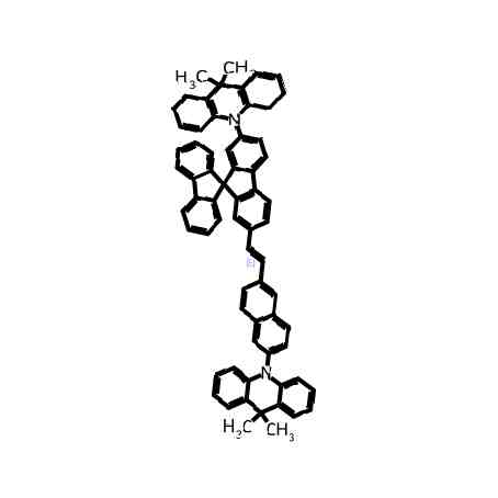 CC1(C)C2=C(CCC=C2)N(c2ccc3c(c2)C2(c4ccccc4-c4ccccc42)c2cc(/C=C/c4ccc5cc(N6c7ccccc7C(C)(C)c7ccccc76)ccc5c4)ccc2-3)C2=C1CCC=C2